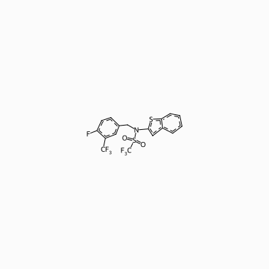 O=S(=O)(N(Cc1ccc(F)c(C(F)(F)F)c1)c1cc2ccccc2s1)C(F)(F)F